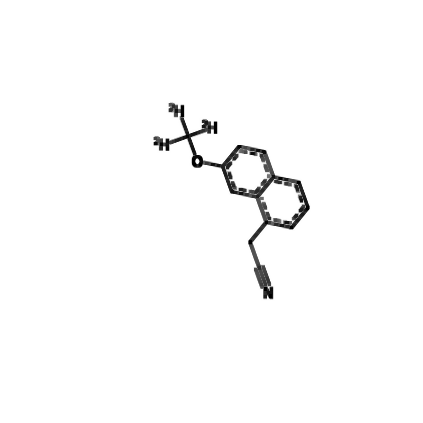 [2H]C([2H])([2H])Oc1ccc2cccc(CC#N)c2c1